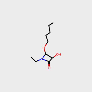 CCCCCOC1C(O)C(=O)N1CC